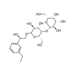 CCc1cccc([C@@H](O)COC2O[C@@H](CO)C(O[C@@H]3O[C@H](CO)[C@H](O)[C@H](O)[C@H]3O)[C@@H](O)[C@@H]2O)c1